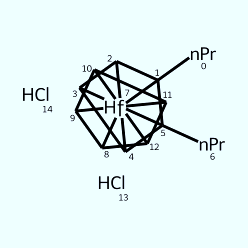 CCC[C]12[CH]3[CH]4[CH]5[C]1(CCC)[Hf]43521678[CH]2[CH]1[CH]6[CH]7[CH]28.Cl.Cl